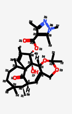 CC1=C[C@]23C(=O)[C@@H](C=C4COC(C)(C)O[C@H]4[C@]2(O)[C@H]1OC(=O)c1c(C)nn(C)c1C)[C@H](C)C(C)(C)CC[C@H]3C